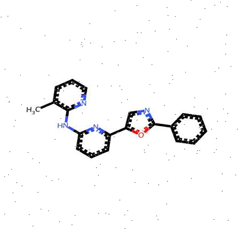 Cc1cccnc1Nc1cccc(-c2cnc(-c3ccccc3)o2)n1